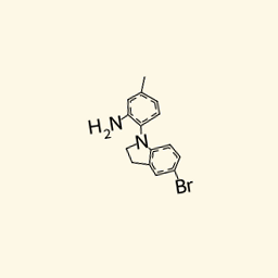 Cc1ccc(N2CCc3cc(Br)ccc32)c(N)c1